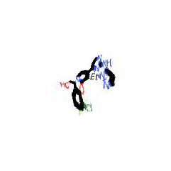 CCn1nccc1Nc1nccc(-c2ccn(C(CO)c3ccc(F)c(Cl)c3)c(=O)c2)n1